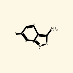 Cc1ccc2c(N)snc2c1